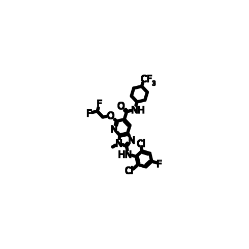 Cn1c(Nc2c(Cl)cc(F)cc2Cl)nc2cc(C(=O)NC3CCC(C(F)(F)F)CC3)c(OCC(F)F)nc21